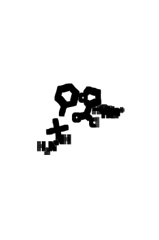 CC(C)(C)NN.Cc1ccccc1.Cl.O=C(Cl)c1ccco1.[Na+].[OH-]